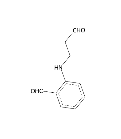 O=CCCNc1ccccc1C=O